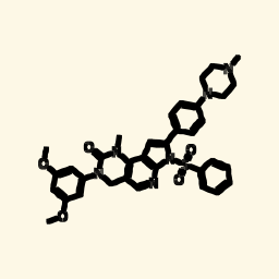 COc1cc(OC)cc(N2Cc3cnc4c(cc(-c5ccc(N6CCN(C)CC6)cc5)n4S(=O)(=O)c4ccccc4)c3N(C)C2=O)c1